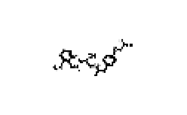 CC(Cc1ccc(OCC(=O)O)cc1)NCC(O)COc1cccc(N)c1N